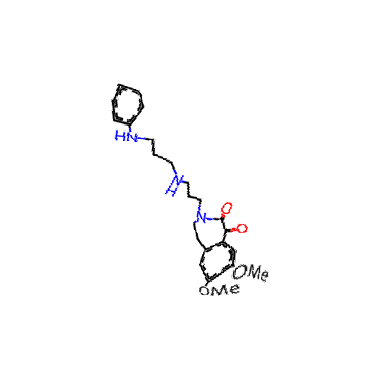 COc1cc2c(cc1OC)C(=O)C(=O)N(CCCNCCCNc1ccccc1)CC2